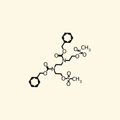 CS(=O)(=O)OCCN(CCN(CCOS(C)(=O)=O)C(=O)OCc1ccccc1)C(=O)OCc1ccccc1